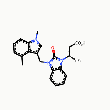 CCC[C@H](CC(=O)O)n1c(=O)n(Cc2cn(C)c3cccc(C)c23)c2ccccc21